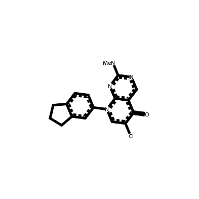 CNc1ncc2c(=O)c(Cl)cn(-c3ccc4c(c3)CCC4)c2n1